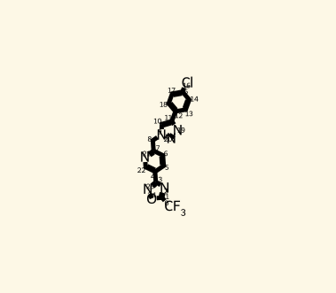 FC(F)(F)c1nc(-c2ccc(Cn3cc(-c4ccc(Cl)cc4)nn3)nc2)no1